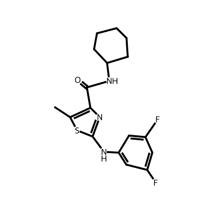 Cc1sc(Nc2cc(F)cc(F)c2)nc1C(=O)NC1CCCCC1